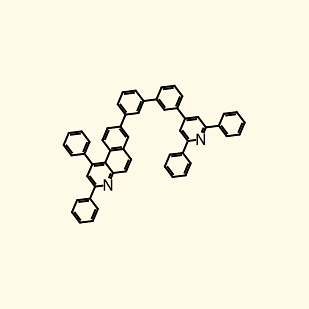 c1ccc(-c2cc(-c3cccc(-c4cccc(-c5ccc6c(ccc7nc(-c8ccccc8)cc(-c8ccccc8)c76)c5)c4)c3)cc(-c3ccccc3)n2)cc1